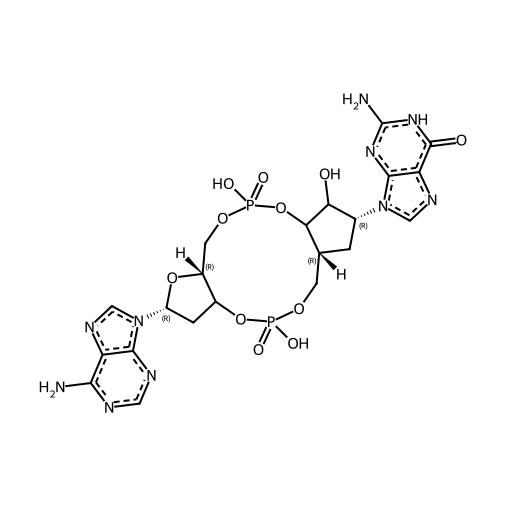 Nc1nc2c(ncn2[C@@H]2C[C@@H]3COP(=O)(O)OC4C[C@H](n5cnc6c(N)ncnc65)O[C@@H]4COP(=O)(O)OC3C2O)c(=O)[nH]1